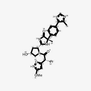 COc1cc([C@H](C(=O)N2C[C@H](O)C[C@@H]2C2=NC(=O)[C@](C)(c3ccc(-c4scnc4C)cc3)N2)C(C)C)on1